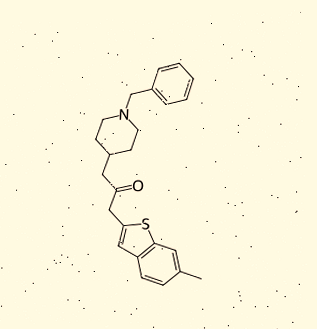 Cc1ccc2cc(CC(=O)CC3CCN(Cc4ccccc4)CC3)sc2c1